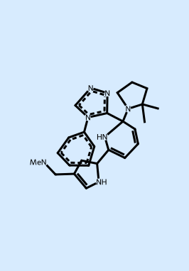 CNCC1=CNC(C2=CC=CC(c3nncn3-c3ccccc3)(N3CCCC3(C)C)N2)C1